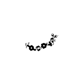 CC1(COc2ccc(N3CCN(Cc4ccc(C(F)(F)F)cc4)CC3)cc2)Cn2cc([N+](=O)[O-])nc2O1